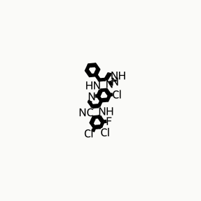 N#Cc1cnc2c(N[C@@H](c3ccccc3)c3c[nH]nn3)cc(Cl)cc2c1Nc1ccc(Cl)c(Cl)c1F